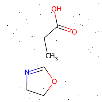 C1=NCCO1.CCC(=O)O